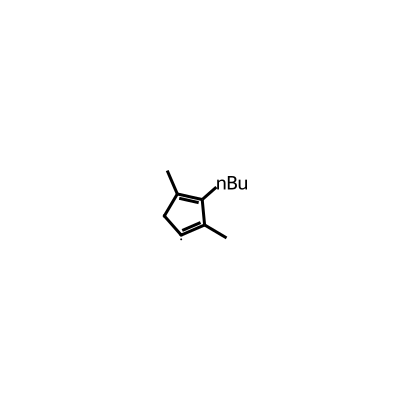 CCCCC1=C(C)C[C]=C1C